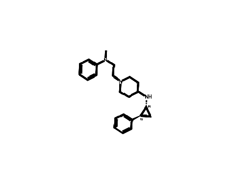 CN(CCN1CCC(N[C@@H]2C[C@H]2c2ccccc2)CC1)c1ccccc1